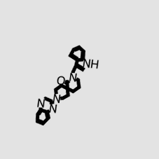 O=C1N(Cc2c[nH]c3ccccc23)CCCC12CCN(c1cnc3ccccc3n1)CC2